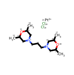 CC1CN(CCCN2CC(C)OC(C)C2)CC(C)O1.[Cl-].[Cl-].[Pt+2]